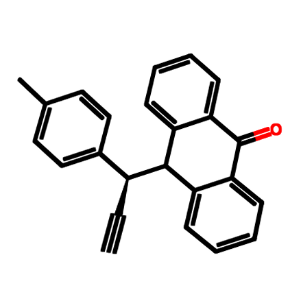 C#C[C@@H](c1ccc(C)cc1)C1c2ccccc2C(=O)c2ccccc21